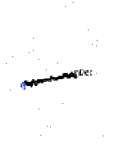 CCCCCCCCCCCCCCCCCCCCCCCCCCN(C)C